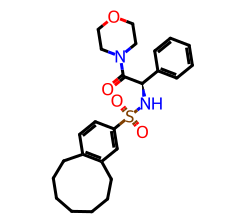 O=C([C@H](NS(=O)(=O)c1ccc2c(c1)CCCCCCC2)c1ccccc1)N1CCOCC1